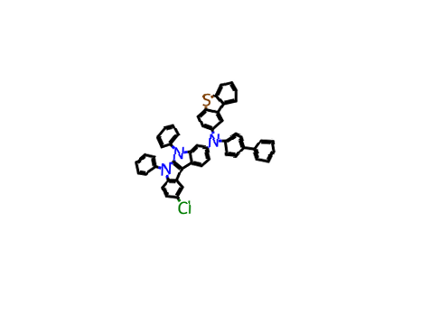 Clc1ccc2c(c1)c1c3ccc(N(c4ccc(-c5ccccc5)cc4)c4ccc5sc6ccccc6c5c4)cc3n(-c3ccccc3)c1n2-c1ccccc1